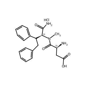 CN(C(=O)[C@@H](N)CC(=O)O)[C@H](C(N)=O)C(Cc1ccccc1)c1ccccc1.Cl